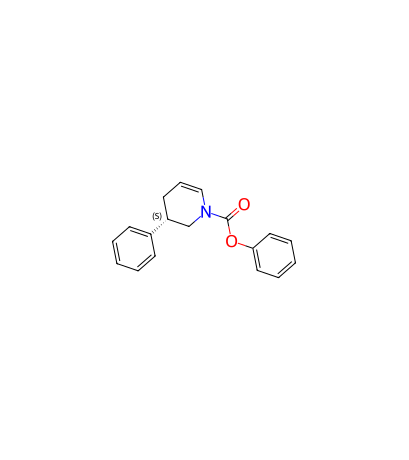 O=C(Oc1ccccc1)N1C=CC[C@@H](c2ccccc2)C1